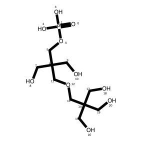 O=P(O)(O)OCC(CO)(CO)COCC(CO)(CO)CO